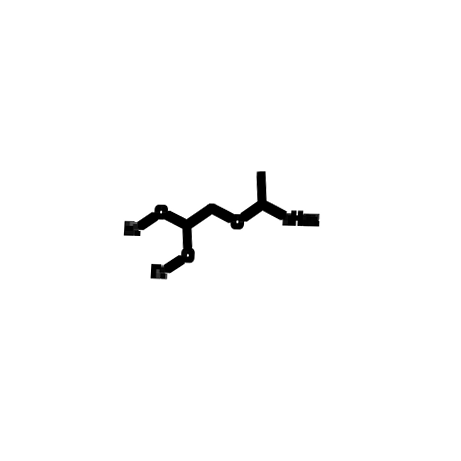 CCCCCCC(C)OCC(OCC)OCC